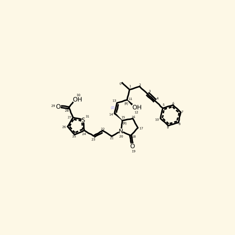 CC(CC#Cc1ccccc1)[C@@H](O)/C=C\[C@H]1CCC(=O)N1CC=Cc1ccc(C(=O)O)s1